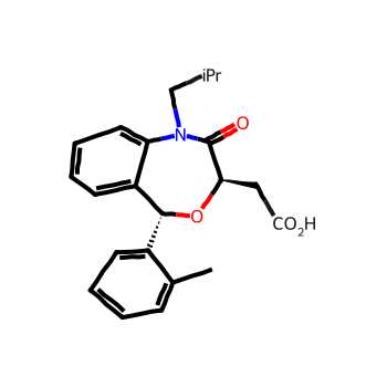 Cc1ccccc1[C@H]1O[C@H](CC(=O)O)C(=O)N(CC(C)C)c2ccccc21